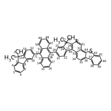 CC1(C)c2ccccc2-c2cc(-c3c4ccccc4c(-c4ccc5c(c4)C(C)(C)c4ccc6c(ccc7c8ccccc8sc67)c4-5)c4ccccc34)ccc21